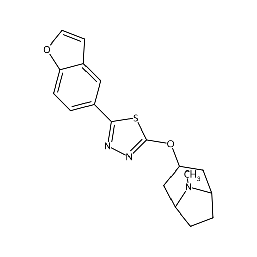 CN1C2CCC1CC(Oc1nnc(-c3ccc4occc4c3)s1)C2